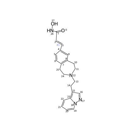 O=C(/C=C/c1ccc2c(c1)CCN(CCc1cnn3ccccc13)CC2)NO